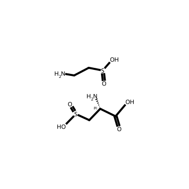 NCCS(=O)O.N[C@@H](CS(=O)O)C(=O)O